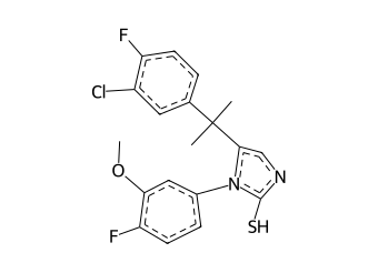 COc1cc(-n2c(C(C)(C)c3ccc(F)c(Cl)c3)cnc2S)ccc1F